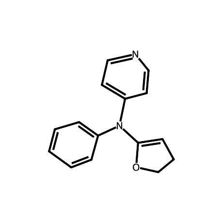 C1=C(N(c2ccccc2)c2ccncc2)OCC1